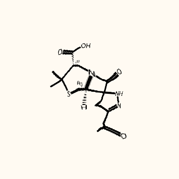 CC(=O)C1=NNC2(C1)C(=O)N1[C@@H](C(=O)O)C(C)(C)S[C@@H]12